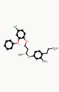 Cc1cc(S[C@H](C)CCOc2ccc(Cl)cc2Oc2ccccc2)ccc1CCC(=O)O